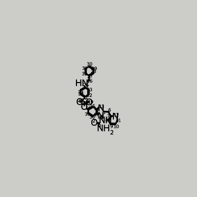 NC(=O)Nn1c(Cc2ccccn2)nc2cc(OS(=O)(=O)c3ccc(NCc4ccccc4)cc3)ccc21